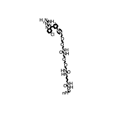 CCCOCNC(=O)NCCCCNC(=O)NCCOCCOCCNC(=O)NCCOCCOCCN1CCN(c2cccc(-c3nc(N=C(N)N)nc4ccc(Cl)cc34)c2)CC1